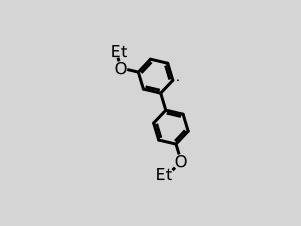 CCOc1ccc(-c2[c]ccc(OCC)c2)cc1